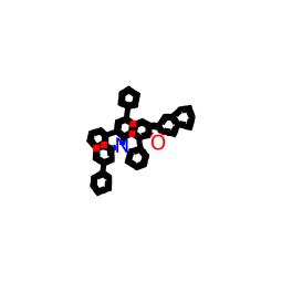 c1ccc(-c2cccc(N(c3ccc(-c4ccccc4)cc3-c3ccccc3)c3ccccc3-c3cccc4c3oc3cc5ccccc5cc34)c2)cc1